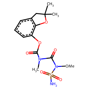 CON(C(=O)N(C)C(=O)Oc1cccc2c1OC(C)(C)C2)S(N)(=O)=O